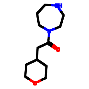 O=C(CC1CCOCC1)N1CCCNCC1